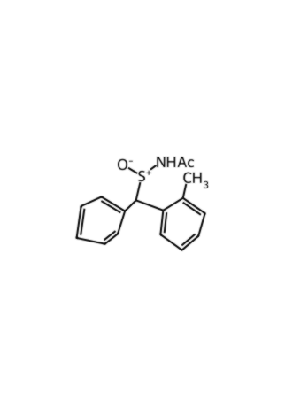 CC(=O)N[S+]([O-])C(c1ccccc1)c1ccccc1C